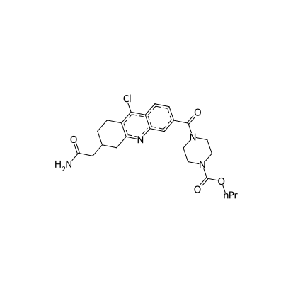 CCCOC(=O)N1CCN(C(=O)c2ccc3c(Cl)c4c(nc3c2)CC(CC(N)=O)CC4)CC1